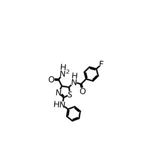 NC(=O)C1N=C(Nc2ccccc2)SC1NC(=O)c1ccc(F)cc1